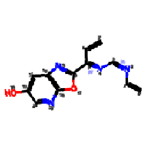 C=C/N=C\N=C(/C=C)c1nc2cc(O)cnc2o1